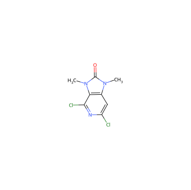 Cn1c(=O)n(C)c2c(Cl)nc(Cl)cc21